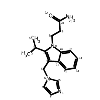 CC(C)c1c(Cn2ccnc2)c2ccccc2n1CCC(N)=O